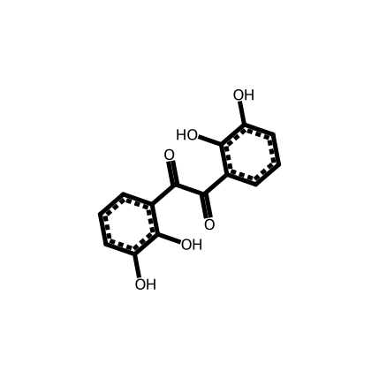 O=C(C(=O)c1cccc(O)c1O)c1cccc(O)c1O